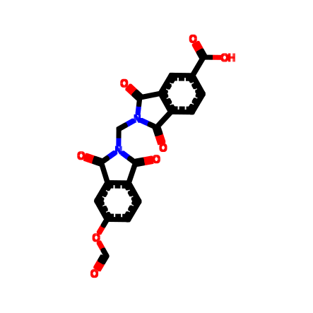 O=COc1ccc2c(c1)C(=O)N(CN1C(=O)c3ccc(C(=O)O)cc3C1=O)C2=O